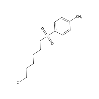 Cc1ccc(S(=O)(=O)CCCCCCCl)cc1